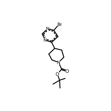 CC(C)(C)OC(=O)N1CCC(c2cc(Br)ncn2)CC1